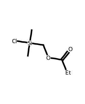 CCC(=O)OC[Si](C)(C)Cl